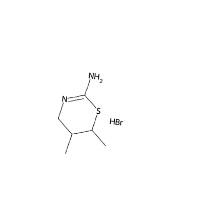 Br.CC1CN=C(N)SC1C